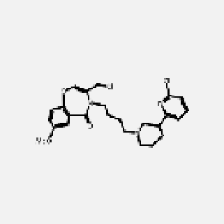 COc1ccc2c(c1)C(=O)N(CCCCN1CCCC(c3cccc(Cl)n3)C1)C(CCl)=CO2